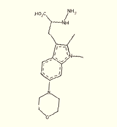 Cc1c(CC(NN)C(=O)O)c2ccc(N3CCOCC3)cc2n1C